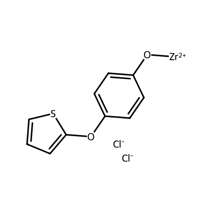 [Cl-].[Cl-].[Zr+2][O]c1ccc(Oc2cccs2)cc1